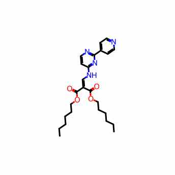 CCCCCCOC(=O)C(=CNc1ccnc(-c2ccncc2)n1)C(=O)OCCCCCC